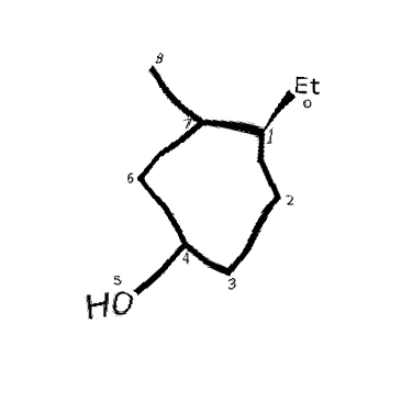 CC[C@H]1CCC(O)CC1C